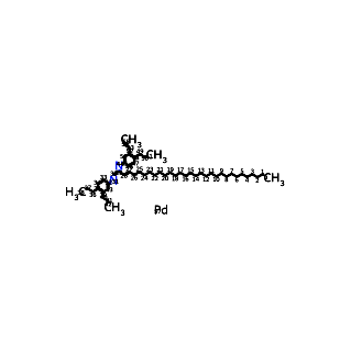 CCCCCCCCCCCCCCCCCCCCCCCCCCC/C=C/C(/C=N/c1ccc(CCC)c(CCC)c1)=N\c1ccc(CCC)c(CCC)c1.[Pd]